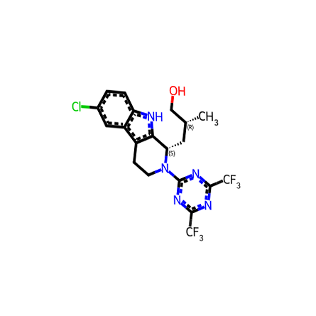 C[C@@H](CO)C[C@H]1c2[nH]c3ccc(Cl)cc3c2CCN1c1nc(C(F)(F)F)nc(C(F)(F)F)n1